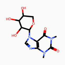 Cn1c(=O)c2c(ncn2C2OCC(O)C(O)C2O)n(C)c1=O